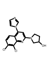 OC1CCN(c2cc(-n3ccnc3)c3ccc(Cl)c(Cl)c3n2)C1